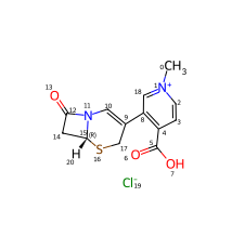 C[n+]1ccc(C(=O)O)c(C2=CN3C(=O)C[C@H]3SC2)c1.[Cl-]